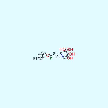 CCc1ccc(COC[C@H](F)CCCCN2C[C@H](O)[C@@H](O)[C@H](O)[C@@H](O)C2)cc1